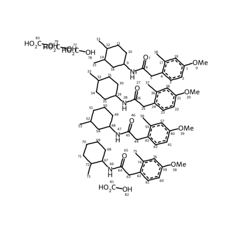 COc1ccc(CC(=O)NC2CCC(C)C(C)C2)c(C)c1.COc1ccc(CC(=O)NC2CCC(C)CC2)c(C)c1.COc1ccc(CC(=O)NC2CCCC(C)C2)c(C)c1.COc1ccc(CC(=O)NC2CCCCC2C)c(C)c1.O=C(O)O.O=C(O)O.O=C(O)O.O=C(O)O